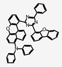 c1ccc(-c2nc(-c3cccc4c3-c3cccc5c(N(c6ccccc6)c6ccccc6)ccc(c35)O4)nc(-c3cccc4c3oc3ccccc34)n2)cc1